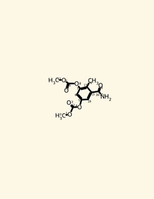 COC(=O)Oc1cc(OC(=O)OC)c(C)c(C(N)=O)c1